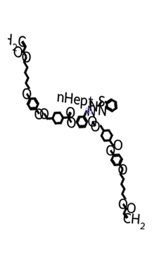 C=CC(=O)OCCCCCCOc1ccc(OOCC2CCC(C(=O)Oc3ccc(OOCC4CCC(C(=O)Oc5ccc(OCCCCCCOC(=O)C=C)cc5)CC4)c(/C=N/N(CCCCCCC)c4nc5ccccc5s4)c3)CC2)cc1